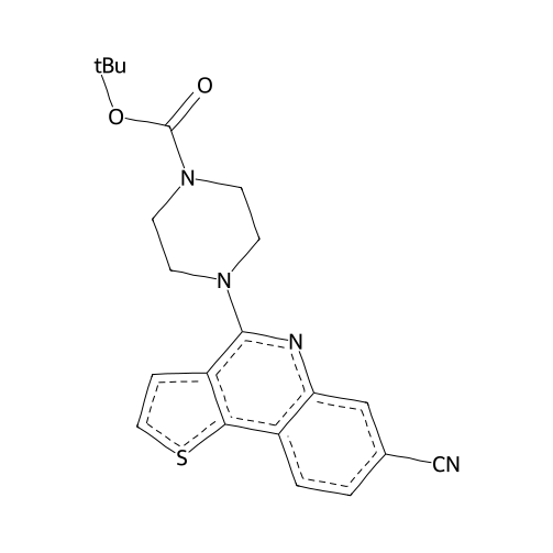 CC(C)(C)OC(=O)N1CCN(c2nc3cc(C#N)ccc3c3sccc23)CC1